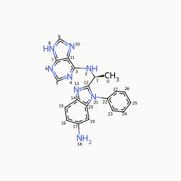 C[C@H](Nc1ncnc2[nH]cnc12)c1nc2ccc(N)cc2n1-c1ccccc1